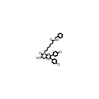 O=C(CCCCCCN1C(=O)C(O)Cc2nc(-c3ccc(Cl)cc3)c(-c3ccc(Cl)cc3)nc21)NCc1ccccc1